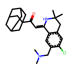 CN(C)Cc1cc2c(cc1Cl)CC(C)(C)NC2=CC(=O)C12CC3CC(CC(C3)C1)C2